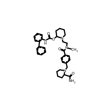 CN(CCN1CCCCC1OC(=O)Nc1ccccc1-c1ccccc1)C(=O)c1ccc(CN2CCCCC2C(N)=O)cc1